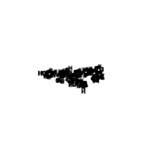 CC(C)c1ccccc1[C@@H]1COCCN1C1CC2(CCN(c3ccc(C(=O)NS(=O)(=O)c4ccc(NCC5CCC(C)(O)CC5)c([N+](=O)[O-])c4)c(N4c5cc6cc[nH]c6nc5O[C@@H]5COC[C@H]54)c3)CC2)C1